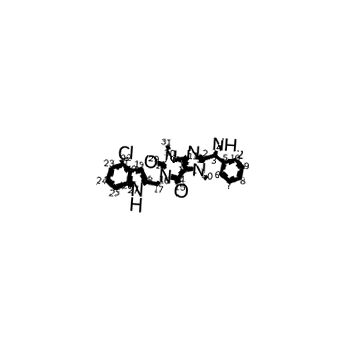 Cn1c(C(N)c2ccccc2)nc2c1c(=O)n(Cc1cc3c(Cl)cccc3[nH]1)c(=O)n2C